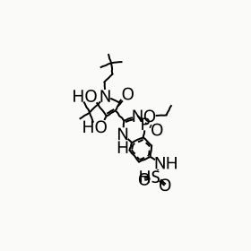 CCOP1(=O)N=C(C2=C(O)C(O)(C(C)(C)C)N(CCC(C)(C)C)C2=O)Nc2ccc(N[SH](=O)=O)cc21